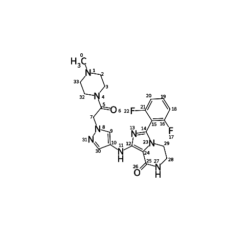 CN1CCN(C(=O)Cn2cc(Nc3nc(-c4c(F)cccc4F)n4c3C(=O)NCC4)cn2)CC1